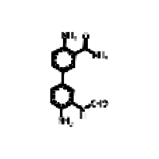 NC(=O)c1cc(-c2ccc(N)c(NC=O)c2)ccc1N